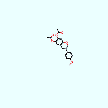 COc1ccc(C2COc3cc(OC(C)=O)c(OC(C)=O)cc3C2)cc1